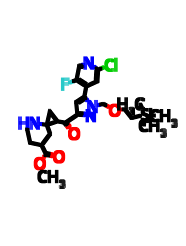 COC(=O)C1CCNC2(C1)CC2C(=O)c1cc(-c2cc(Cl)ncc2F)n(COCC[Si](C)(C)C)n1